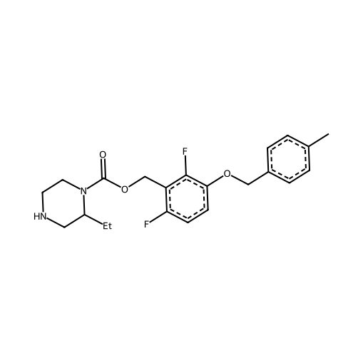 CCC1CNCCN1C(=O)OCc1c(F)ccc(OCc2ccc(C)cc2)c1F